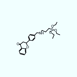 CCO[Si](CCCNCc1ccc(C2CC(=O)c3ccccc3O2)cc1)(OCC)OCC